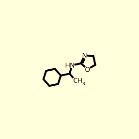 CC(NC1=NCCO1)C1CCCCC1